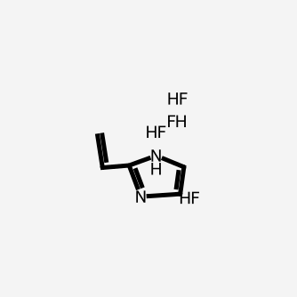 C=Cc1ncc[nH]1.F.F.F.F